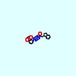 O=C(CC1CCc2ccccc21)N1CCN(c2cccc3c2OCCO3)CC1